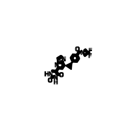 O=C(c1ccc([C@H]2C[C@@H]2c2cc(-c3c[nH]c(=O)[nH]c3=O)nn3ccnc23)cc1)N1CC(F)(F)C1